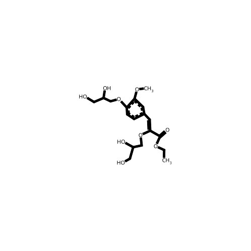 CCOC(=O)C(=Cc1ccc(OCC(O)CO)c(OC)c1)OCC(O)CO